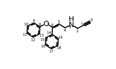 C#CCNCC=C(Oc1ccccc1)c1ccccc1